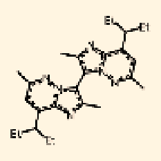 CCC(CC)c1cc(C)nn2c(-c3c(C)nc4c(C(CC)CC)cc(C)nn34)c(C)nc12